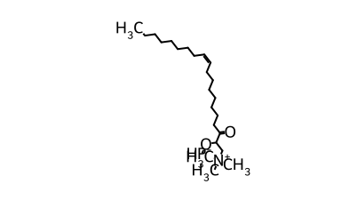 CCCCCCCC/C=C\CCCCCCCC(=O)C(C[N+](C)(C)C)O[PH-]